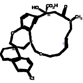 CN1C/C=C/CCCCN2C[C@@]3(CCCc4cc(Cl)ccc43)COc3ccc(cc32)[C@](O)(C(=O)O)CC1=O